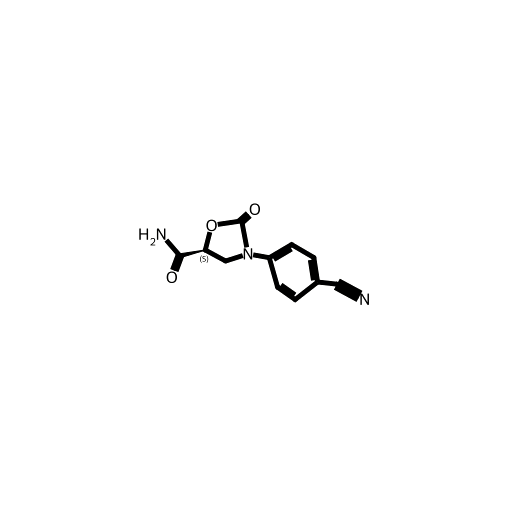 N#Cc1ccc(N2C[C@@H](C(N)=O)OC2=O)cc1